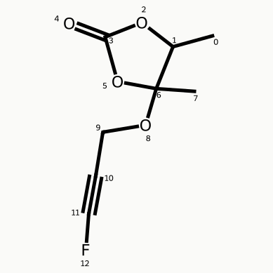 CC1OC(=O)OC1(C)OCC#CF